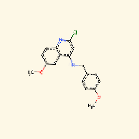 COc1ccc(CNc2cc(Cl)nc3ccc(OC)cc23)cc1